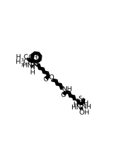 CC(C)(C)C1NNN(CCCCCC(=O)OCCCCCNC(=O)CCCC[C@H]2SC[C@@H]3NC(O)N[C@@H]32)C12CCCCCCC2